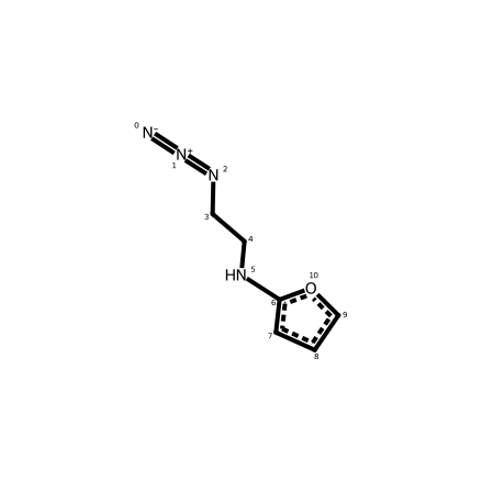 [N-]=[N+]=NCCNc1ccco1